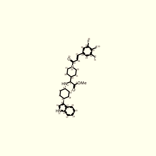 COC(=O)C(N[C@H]1CC[C@H](c2c[nH]c3ccccc32)CC1)C1CCN(C(=O)C=Cc2cc(F)c(F)c(F)c2)CC1